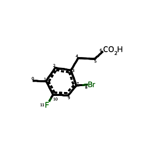 Cc1cc(CCC(=O)O)c(Br)cc1F